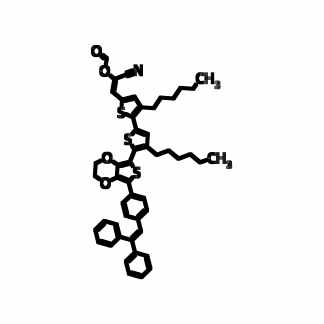 CCCCCCc1cc(/C=C(\C#N)OC=O)sc1-c1cc(CCCCCC)c(-c2sc(-c3ccc(C=C(c4ccccc4)c4ccccc4)cc3)c3c2OCCO3)s1